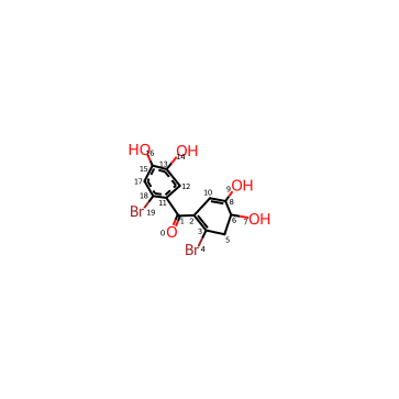 O=C(C1=C(Br)CC(O)C(O)=C1)c1cc(O)c(O)cc1Br